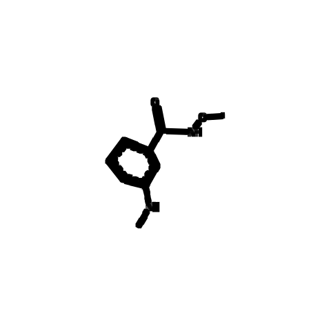 CNc1cccc(C(=O)NOC)c1